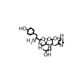 N[C@@H](Cc1ccc(O)cc1)C(=O)N[C@@H](CC(=O)O)C(=O)N[C@@H](Cc1c[nH]cn1)C(=O)O